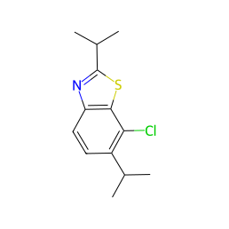 CC(C)c1nc2ccc(C(C)C)c(Cl)c2s1